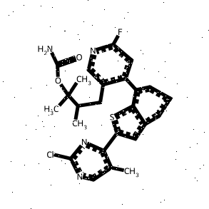 Cc1cnc(Cl)nc1-c1cc2cccc(-c3cc(F)ncc3CC(C)C(C)(C)OC(N)=O)c2s1